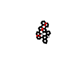 c1ccc(-c2ccc(-c3ccccc3N(c3ccc(-c4ccccc4)cc3)c3c(-c4ccccc4)c4ccccc4c4oc5ccccc5c34)cc2)cc1